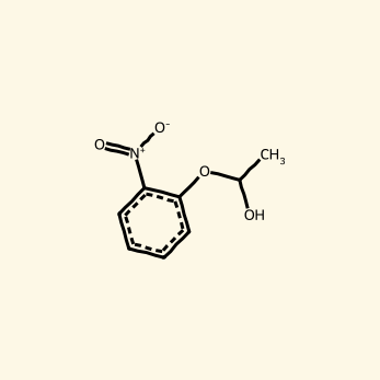 CC(O)Oc1ccccc1[N+](=O)[O-]